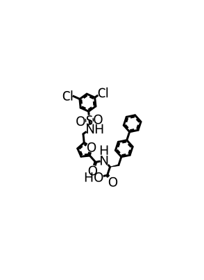 O=C(N[C@@H](Cc1ccc(-c2ccccc2)cc1)C(=O)O)c1ccc(CNS(=O)(=O)c2cc(Cl)cc(Cl)c2)o1